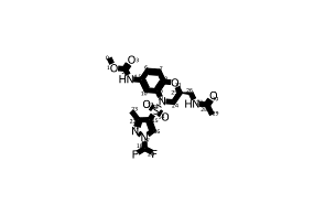 COC(=O)Nc1ccc2c(c1)N(S(=O)(=O)c1cn(C(F)F)nc1C)C[C@H](CNC(C)=O)O2